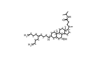 CC(C)NC(=O)CC[C@@H](C)[C@H]1CCC2C3C(CC[C@@]21C)[C@@]1(C)CC[C@H](NCCCN(CCCN)CCCN)CC1C[C@H]3O